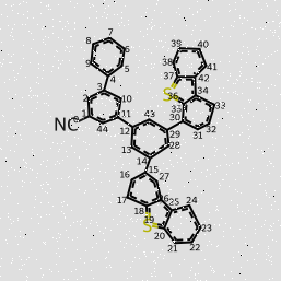 N#Cc1cc(-c2ccccc2)cc(-c2cc(-c3ccc4sc5ccccc5c4c3)cc(-c3cccc4c3sc3ccccc34)c2)c1